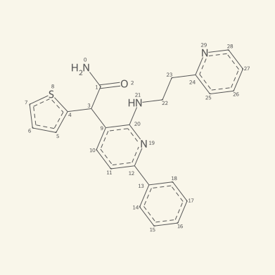 NC(=O)C(c1cccs1)c1ccc(-c2ccccc2)nc1NCCc1ccccn1